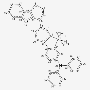 CC1(C)c2cc(-c3cccc4c3oc3ccccc34)ccc2-c2ccc(N(c3ccccc3)c3ccccc3)cc21